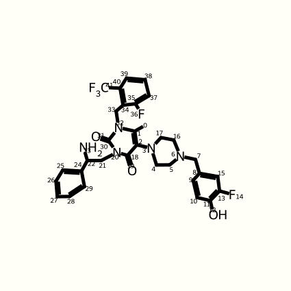 Cc1c(N2CCN(Cc3ccc(O)c(F)c3)CC2)c(=O)n(CC(N)c2ccccc2)c(=O)n1Cc1c(F)cccc1C(F)(F)F